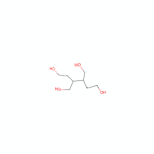 OCCC(CO)C(CO)CCO